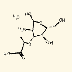 C[C@@H](O[C@@H]1[C@@H](N)[C@@H](O)O[C@H](CO)[C@H]1O)C(=O)O.O